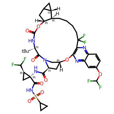 CC(C)(C)[C@@H]1NC(=O)O[C@@H]2CC3C[C@@H]3[C@H]2CCCCC(F)(F)c2nc3ccc(OC(F)F)cc3nc2O[C@@H]2C[C@@H](C(=O)N[C@]3(C(=O)NS(=O)(=O)C4CC4)C[C@H]3C(F)F)N(C2)C1=O